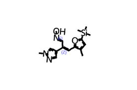 Cc1cc([Si](C)(C)C)oc1/C=C(\C=N\O)c1cnn(C)c1